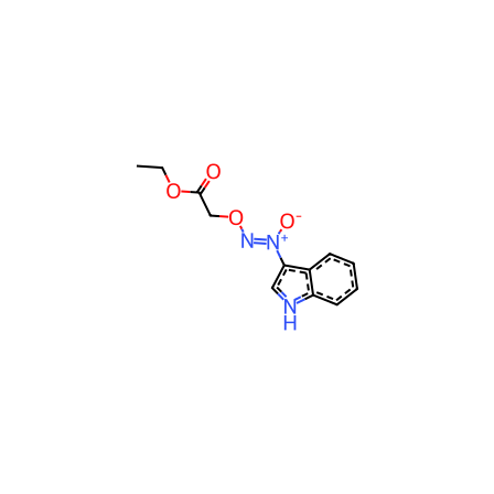 CCOC(=O)CON=[N+]([O-])c1c[nH]c2ccccc12